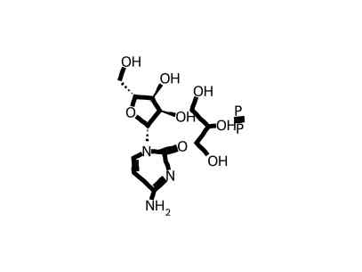 Nc1ccn([C@@H]2O[C@H](CO)[C@@H](O)[C@H]2O)c(=O)n1.OCC(O)CO.P#P